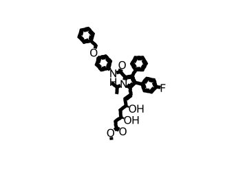 COC(=O)C[C@H](O)C[C@H](O)C=Cc1c(-c2ccc(F)cc2)c(-c2ccccc2)c(C(=O)Nc2ccc(OCc3ccccc3)cc2)n1C(C)C